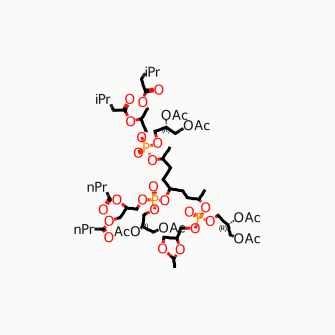 CCCC(=O)OCC(COP(=O)(OC[C@@H](COC(C)=O)OC(C)=O)OC(CCC(C)OP(=O)(OCC(COC(=O)CC(C)C)OC(=O)CC(C)C)OC[C@@H](COC(C)=O)OC(C)=O)CCC(C)OP(=O)(OCC1COC(C)O1)OC[C@@H](COC(C)=O)OC(C)=O)OC(=O)CCC